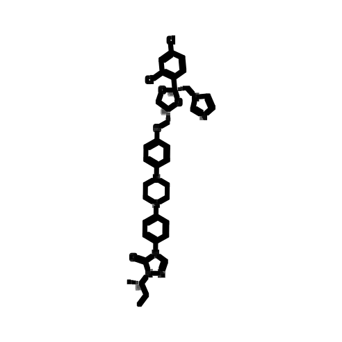 CC[C@H](C)n1ncn(-c2ccc(N3CCN(c4ccc(OC[C@@H]5CO[C@@](Cn6ccnc6)(c6ccc(Cl)cc6Cl)O5)cc4)CC3)cc2)c1=O